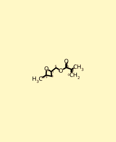 C=C(C)C(=O)OCC1CC(C)O1